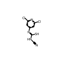 N#CN/C(S)=N/c1cc(Cl)nc(Cl)c1